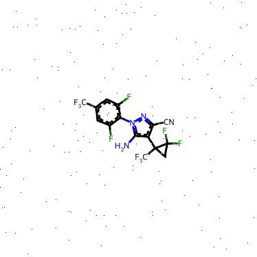 N#Cc1nn(-c2c(F)cc(C(F)(F)F)cc2F)c(N)c1C1(C(F)(F)F)CC1(F)F